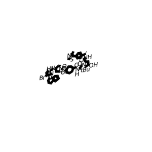 Cc1ncsc1-c1ccc([C@H](C)NC(=O)C2C[C@@H](O)CN2C(=O)[C@@H](NC(=O)C2CCCC(S(=O)(=O)N3CCC(Nc4ncc(Br)c(N5CCCc6ccccc65)n4)CC3)CC2)C(C)(C)C)cc1